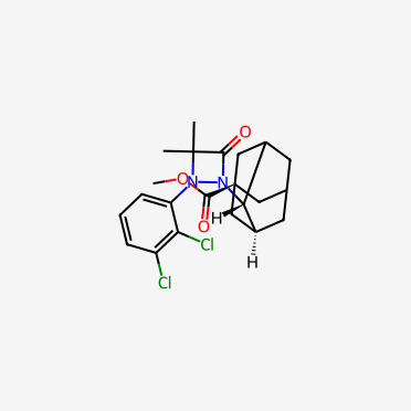 COC(=O)[C@]12CC3CC(C1)[C@@H](N1C(=O)C(C)(C)N1c1cccc(Cl)c1Cl)[C@@H](C3)C2